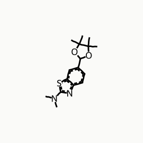 CN(C)c1nc2ccc(C3OC(C)(C)C(C)(C)O3)cc2s1